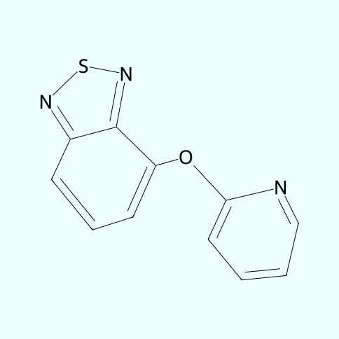 c1ccc(Oc2cccc3nsnc23)nc1